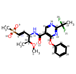 CO[C@@H](C)[C@@H](/C=C/S(C)(=O)=O)NC(=O)c1cnc(C(C)(F)F)nc1Oc1ccccc1